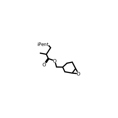 CCCC(C)CC(C)C(=O)OCC1CCC2OC2C1